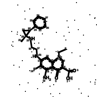 CCn1cc(C(=O)O)c(=O)c2c(N)c(F)c(NCCN[C@]3(C)C[C@H]3c3ccccc3)cc21